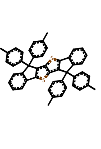 Cc1ccc(C2(c3ccc(C)cc3)c3ccccc3-c3sc4c5c(sc4c32)-c2ccccc2C5(c2ccc(C)cc2)c2ccc(C)cc2)cc1